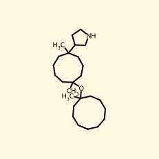 CC1(OC2(C)CCCCC(C)(C3CCNC3)CCC2)CCCCCCCCC1